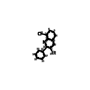 CCc1cc2cccc(Cl)c2nc1-c1ccccc1